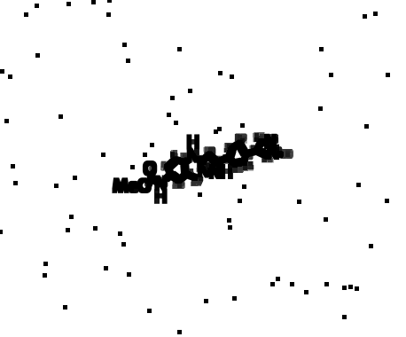 COC(=O)Nc1ccc(Nc2cc(-c3ccc(-c4cnn(C)c4)cc3)[nH]n2)c(C)c1